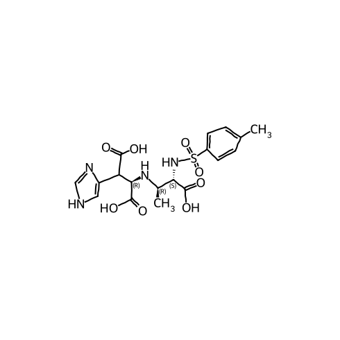 Cc1ccc(S(=O)(=O)N[C@H](C(=O)O)[C@@H](C)N[C@@H](C(=O)O)C(C(=O)O)c2c[nH]cn2)cc1